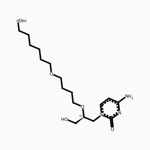 CCCCCCCCCCCCCCCCOCC[CH]CO[C@H](CO)Cn1ccc(N)nc1=O